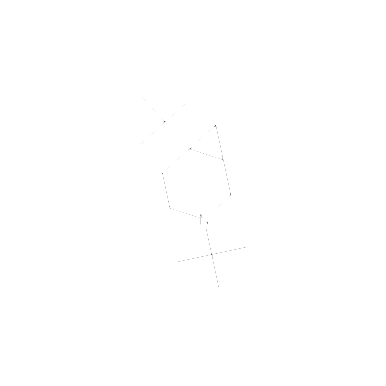 CC(C)(C)N1CC[C@@]2(C(C)(C)C)CC2C1